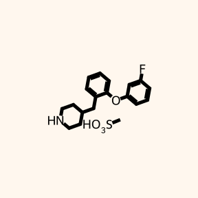 CS(=O)(=O)O.Fc1cccc(Oc2ccccc2CC2CCNCC2)c1